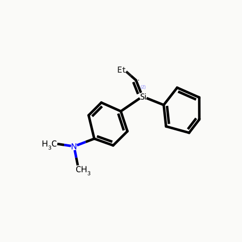 [CH2]C/[C]=[Si](/c1ccccc1)c1ccc(N(C)C)cc1